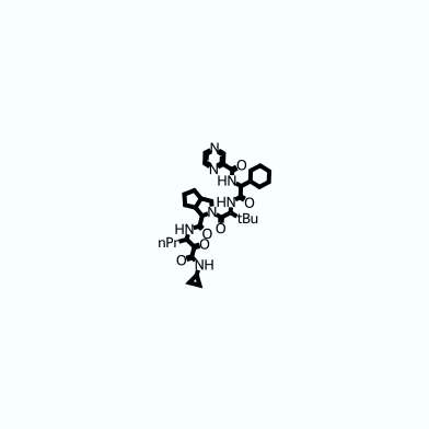 CCCC(NC(=O)C1C2CCCC2CN1C(=O)C(NC(=O)C(NC(=O)c1cnccn1)C1CCCCC1)C(C)(C)C)C(=O)C(=O)NC1CC1